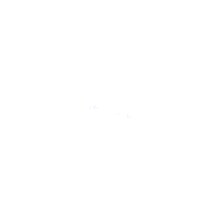 O=C(COc1ccc(Cl)cc1)NC12CC(NC(=O)COc3ccc(Cl)c(F)c3)(C1)C2